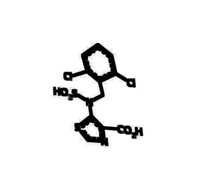 O=C(O)c1ncsc1N(Cc1c(Cl)cccc1Cl)S(=O)(=O)O